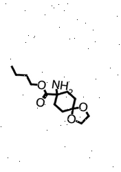 CCCCOC(=O)C1(N)CCC2(CC1)OCCO2